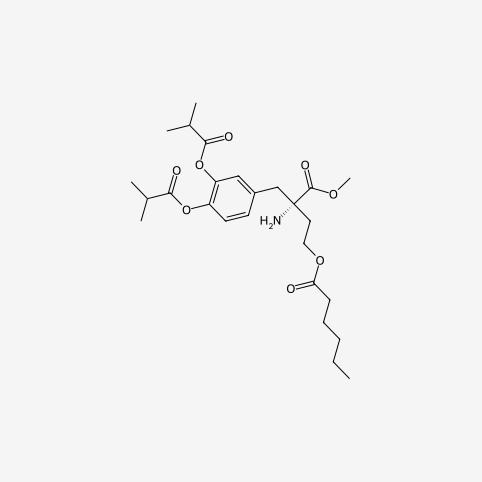 CCCCCC(=O)OCC[C@@](N)(Cc1ccc(OC(=O)C(C)C)c(OC(=O)C(C)C)c1)C(=O)OC